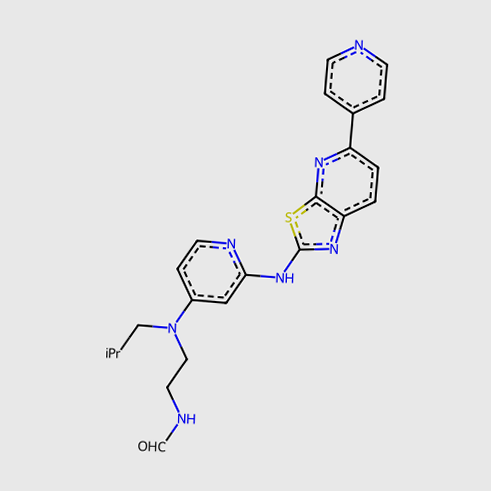 CC(C)CN(CCNC=O)c1ccnc(Nc2nc3ccc(-c4ccncc4)nc3s2)c1